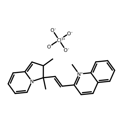 CC1C=C2C=CC=CN2C1(C)C=Cc1ccc2ccccc2[n+]1C.[O-][Cl+3]([O-])([O-])[O-]